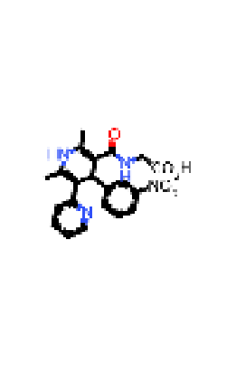 CC1=C(C(=O)NCC(=O)O)C(c2cccc([N+](=O)[O-])c2)C(c2ccccn2)=C(C)N1